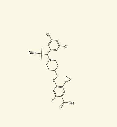 CC(C)(C#N)C(c1cc(Cl)cc(Cl)c1)N1CCC(COc2cc(F)c(C(=O)O)cc2C2CC2)CC1